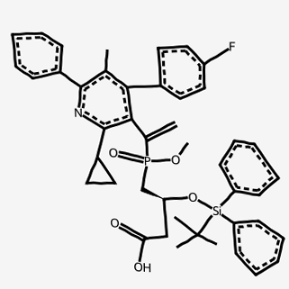 C=C(c1c(C2CC2)nc(-c2ccccc2)c(C)c1-c1ccc(F)cc1)P(=O)(C[C@H](CC(=O)O)O[Si](c1ccccc1)(c1ccccc1)C(C)(C)C)OC